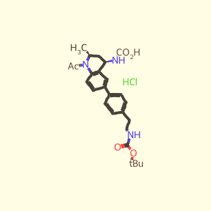 CC(=O)N1c2ccc(-c3ccc(CCNC(=O)OC(C)(C)C)cc3)cc2[C@H](NC(=O)O)C[C@@H]1C.Cl